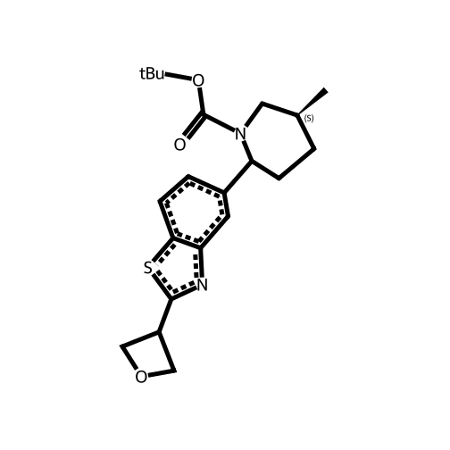 C[C@H]1CCC(c2ccc3sc(C4COC4)nc3c2)N(C(=O)OC(C)(C)C)C1